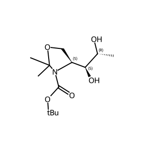 C[C@@H](O)[C@@H](O)[C@@H]1COC(C)(C)N1C(=O)OC(C)(C)C